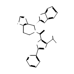 O=C(c1oc(-c2ccccn2)nc1C(F)F)N1CCc2[nH]cnc2[C@H]1c1cc2ccccc2o1